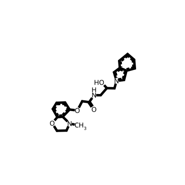 CN1CCOc2cccc(OCC(=O)NCC(O)Cn3cc4ccccc4c3)c21